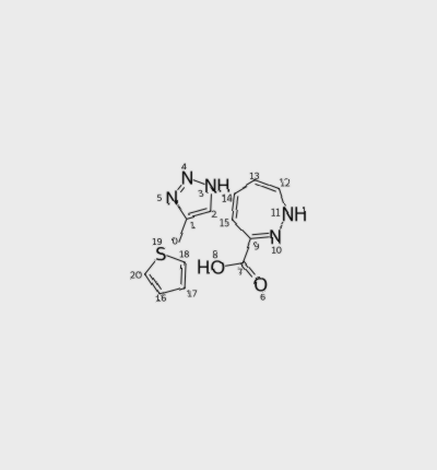 Cc1c[nH]nn1.O=C(O)C1=NNC=CC=C1.c1ccsc1